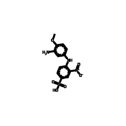 COc1ccc(Nc2ccc(S(=O)(=O)O)cc2[N+](=O)[O-])cc1N